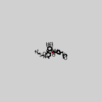 CC(C)CC(C(=O)c1nnc(SCCN(C)C)o1)N(C=O)C1(NC(=O)c2ccc(CN3CCOCC3)cc2)CCCCC1.Cl.Cl